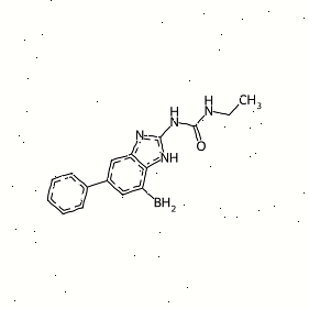 Bc1cc(-c2ccccc2)cc2nc(NC(=O)NCC)[nH]c12